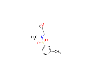 Cc1cccc(S(=O)(=O)N(C)CC2CO2)c1